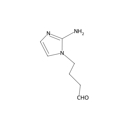 Nc1nccn1CCCC=O